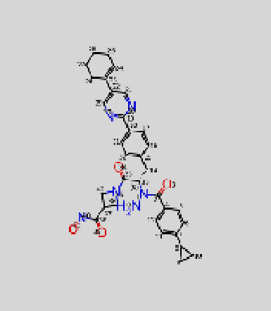 NN(C(=O)c1ccc(C2CC2)cc1)[C@@H](Cc1ccc(-c2ncc(C3=CCCCC3)cn2)cc1)C(=O)N1CC(C(=O)N=O)C1